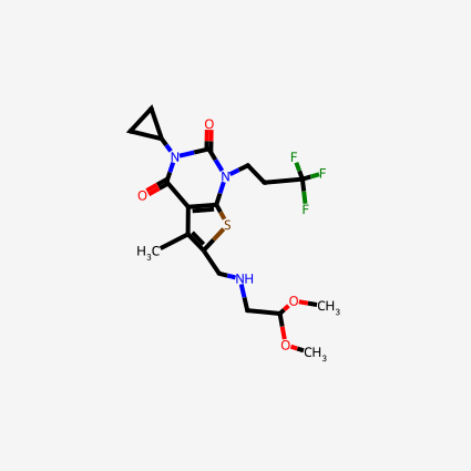 COC(CNCc1sc2c(c1C)c(=O)n(C1CC1)c(=O)n2CCC(F)(F)F)OC